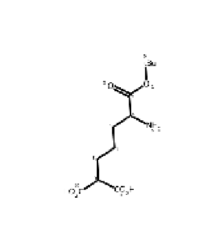 CC(C)(C)OC(=O)C(N)CCCC(C(=O)O)C(=O)O